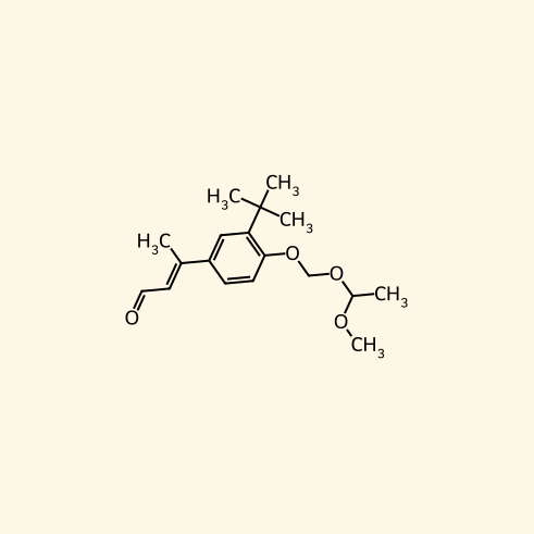 COC(C)OCOc1ccc(C(C)=CC=O)cc1C(C)(C)C